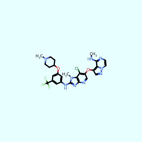 CNc1nccn2ncc(Oc3cnc4nc(Nc5cc(OC6CCN(C)CC6)cc(C(F)(F)F)c5)n(C)c4c3Cl)c12